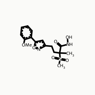 COc1ccccc1-c1cc(CCC(C)(C(=O)NO)S(C)(=O)=O)no1